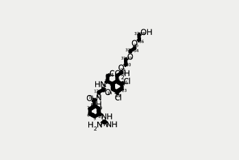 N=C(N)Nc1cccc(C(=O)NCC(=O)NC(CC(=O)O)c2cc(Cl)cc(Cl)c2CCOCCOCCOCCO)c1